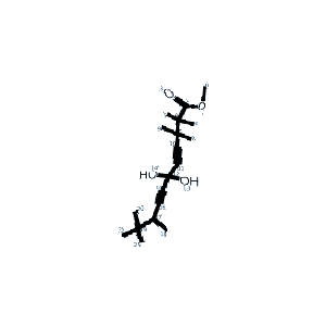 COC(=O)C(C)(C)C(C)(C)C#CC(O)(O)C#CC(C)C(C)(C)C